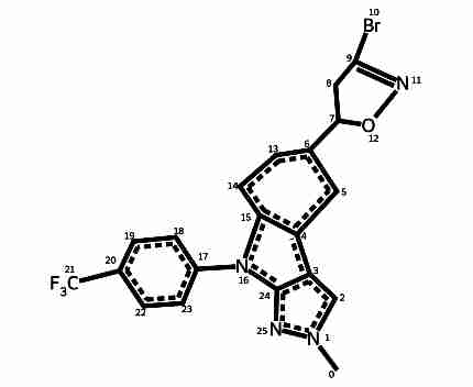 Cn1cc2c3cc(C4CC(Br)=NO4)ccc3n(-c3ccc(C(F)(F)F)cc3)c2n1